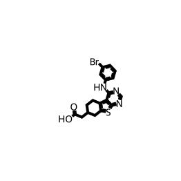 O=C(O)CC1CCc2c(sc3ncnc(Nc4cccc(Br)c4)c23)C1